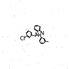 Cc1cccc(-c2nc3ccccc3n2Cc2cccc(Cl)c2)c1